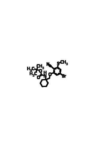 CSc1cc(Br)cc(OCC2(NC(=O)OC(C)(C)C)CCCCC2)c1C#N